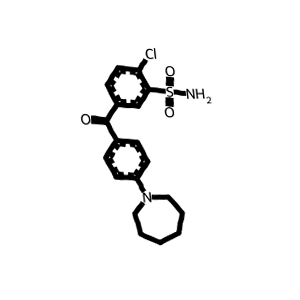 NS(=O)(=O)c1cc(C(=O)c2ccc(N3CCCCCC3)cc2)ccc1Cl